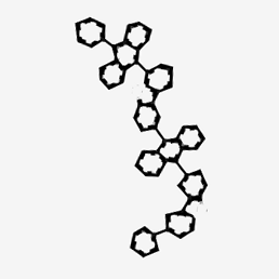 c1ccc(-c2ccc3oc4ccc(-c5c6ccccc6c(-c6ccc7oc8c(-c9c%10ccccc%10c(-c%10ccccc%10)c%10ccccc9%10)cccc8c7c6)c6ccccc56)cc4c3c2)cc1